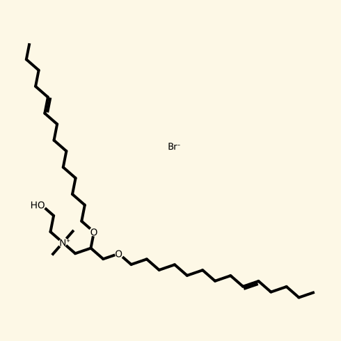 CCCCC=CCCCCCCCCOCC(C[N+](C)(C)CCO)OCCCCCCCCC=CCCCC.[Br-]